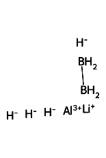 BB.[Al+3].[H-].[H-].[H-].[H-].[Li+]